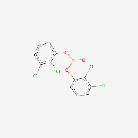 O=[PH](Oc1cccc(Cl)c1Cl)Oc1cccc(Cl)c1Cl